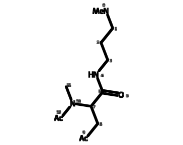 CNCCCNC(=O)C(CC(C)=O)N(C)C(C)=O